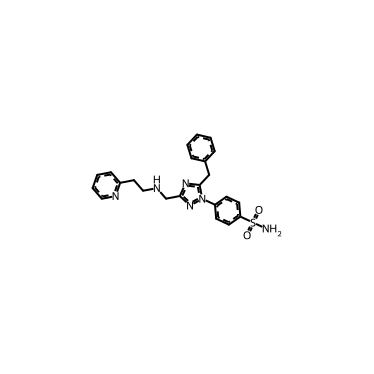 NS(=O)(=O)c1ccc(-n2nc(CNCCc3ccccn3)nc2Cc2ccccc2)cc1